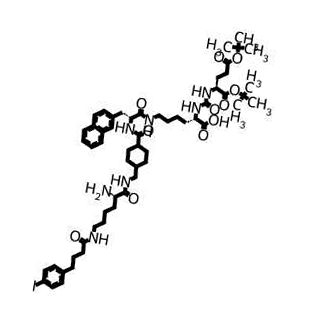 CC(C)(C)OC(=O)CC[C@H](NC(=O)N[C@@H](CCCCNC(=O)[C@@H](Cc1ccc2ccccc2c1)NC(=O)C1CCC(CNC(=O)[C@@H](N)CCCCNC(=O)CCCc2ccc(I)cc2)CC1)C(=O)O)C(=O)OC(C)(C)C